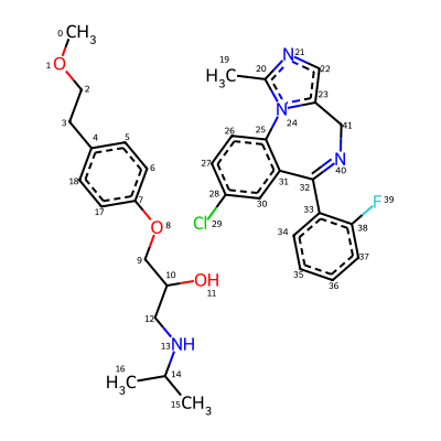 COCCc1ccc(OCC(O)CNC(C)C)cc1.Cc1ncc2n1-c1ccc(Cl)cc1C(c1ccccc1F)=NC2